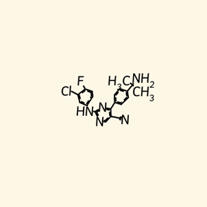 CC(C)(N)c1ccc(-c2nc(Nc3ccc(F)c(Cl)c3)ncc2C#N)cc1